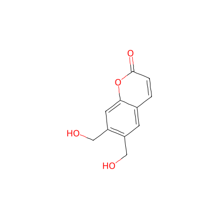 O=c1ccc2cc(CO)c(CO)cc2o1